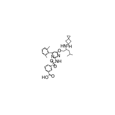 [2H]C1(NC(COc2cc(-c3c(C)cccc3C)nc(NS(=O)(=O)c3cccc(C(=O)O)c3)n2)CC(C)C)CC2(CC2)C1